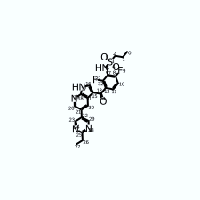 CCCS(=O)(=O)Nc1c(F)ccc(C(=O)c2c[nH]c3ncc(-c4cnc(CC)nc4)cc23)c1F